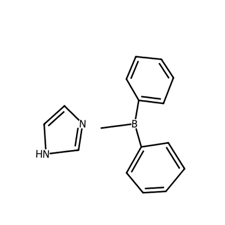 CB(c1ccccc1)c1ccccc1.c1c[nH]cn1